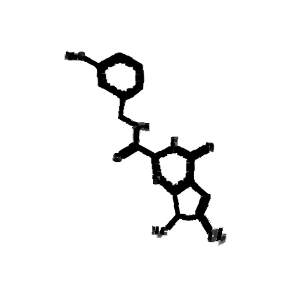 COc1cccc(CNC(=O)c2nc3c(c(=O)[nH]2)C=C(C)C3C)c1